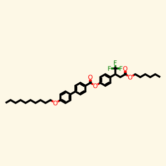 CCCCCCCCCCOc1ccc(-c2ccc(C(=O)Oc3ccc(C(CC(=O)OCCCCCC)C(F)(F)F)cc3)cc2)cc1